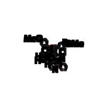 C=C[C@H]1C[N+]2(Cc3cc(-c4ccc(OC)cc4)cc(-c4ccc(OC)cc4)c3)CC[C@H]1C[C@@H]2[C@@H](Oc1nc(-c2ccccc2)nc(Cl)c1-c1ccccc1)c1ccnc2ccccc12.[Br-]